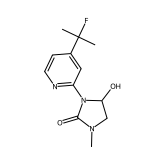 CN1CC(O)N(c2cc(C(C)(C)F)ccn2)C1=O